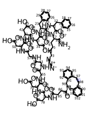 [N-]=[N+]=NCCCCC(NC(=O)C(Cc1ccccc1)NC(=O)C(Cc1ccccc1)NC(=O)C(CC(=O)O)NC(=O)C(CC(=O)O)NC(=O)C(CC(=O)O)NC(=O)CNC(=O)CNC(=O)CNC(=O)C(CC(=O)O)NC(=O)C(CC(=O)O)NC(=O)CCC(=O)N1Cc2ccccc2/C=C\c2ccccc21)C(N)=O